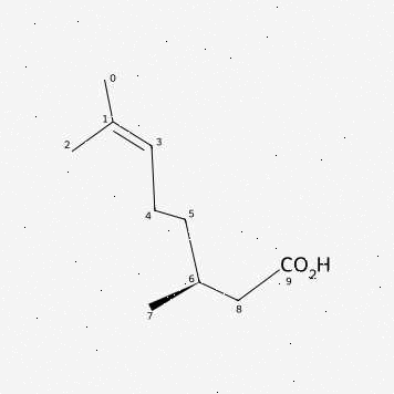 CC(C)=CCC[C@H](C)CC(=O)O